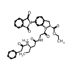 CCOC(=O)[C@@H]1Cc2ccc(N3C(=O)c4ccccc4C3=O)cc2N1C(=O)CNC(=O)CC(CC)N(C)C(=O)Cc1ccccc1